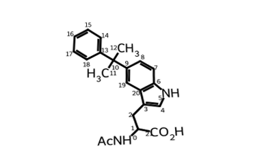 CC(=O)NC(Cc1c[nH]c2ccc(C(C)(C)c3ccccc3)cc12)C(=O)O